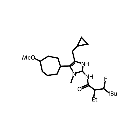 CCC(C)C(F)C(CC)C(=O)NC1NC(CC2CC2)=C(C2CCCC(OC)CC2)N1C